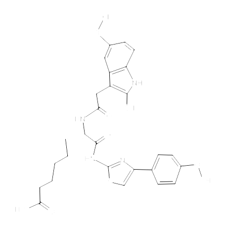 COc1ccc(-c2csc(NC(=O)[C@H](CCCCCC(C)=O)NC(=O)Cc3c(C)[nH]c4ccc(OC)cc34)n2)cc1